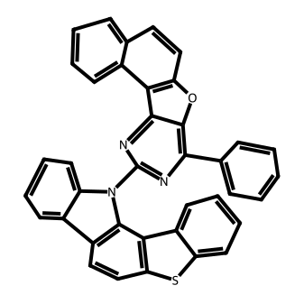 c1ccc(-c2nc(-n3c4ccccc4c4ccc5sc6ccccc6c5c43)nc3c2oc2ccc4ccccc4c23)cc1